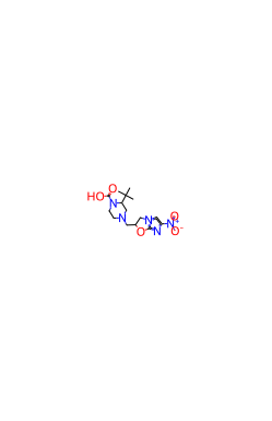 CC(C)(C)C1CN(CC2Cn3cc([N+](=O)[O-])nc3O2)CCN1C(=O)O